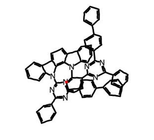 c1ccc(-c2ccc(-c3nc(-c4ccccc4)nc(-c4ccccc4-n4c5ccccc5c5ccc6c7ccccc7n(-c7nc(-c8ccccc8)nc(-c8ccc(-c9ccccc9)cc8)n7)c6c54)n3)cc2)cc1